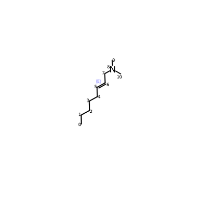 CCCCC/C=C/CN(C)C